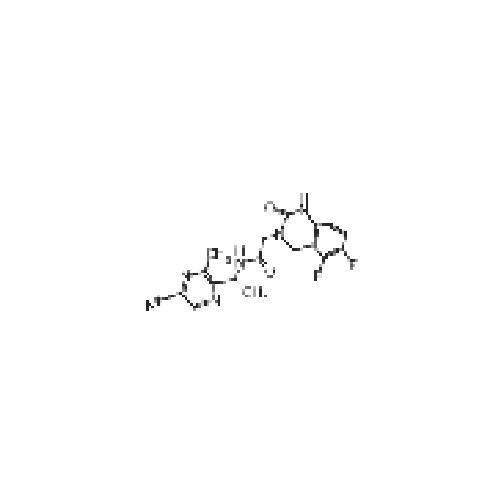 Cc1nc(C#N)cnc1[C@@H](C)NC(=O)CN1Cc2c(ccc(F)c2F)NC1=O